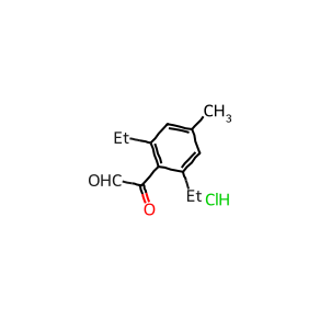 CCc1cc(C)cc(CC)c1C(=O)C=O.Cl